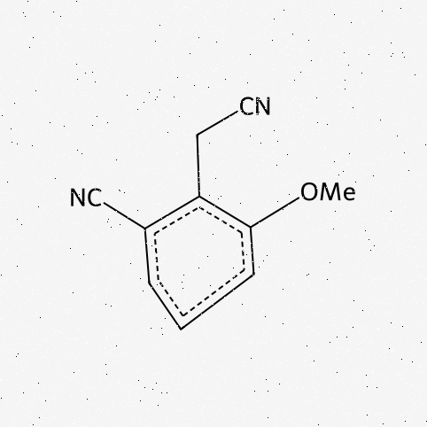 COc1cccc(C#N)c1CC#N